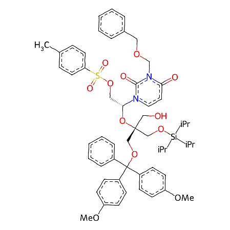 COc1ccc(C(OC[C@@](CO)(CO[Si](C(C)C)(C(C)C)C(C)C)O[C@H](COS(=O)(=O)c2ccc(C)cc2)n2ccc(=O)n(COCc3ccccc3)c2=O)(c2ccccc2)c2ccc(OC)cc2)cc1